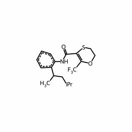 CC(C)CC(C)c1ccccc1NC(=O)C1=C(C(F)(F)F)OCCS1